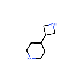 C1CC(C2CNC2)CCN1